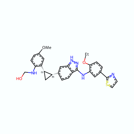 CCOc1ccc(-c2nccs2)cc1Nc1n[nH]c2cc([C@@H]3C[C@@H]3c3cc(OC)ccc3NCO)ccc12